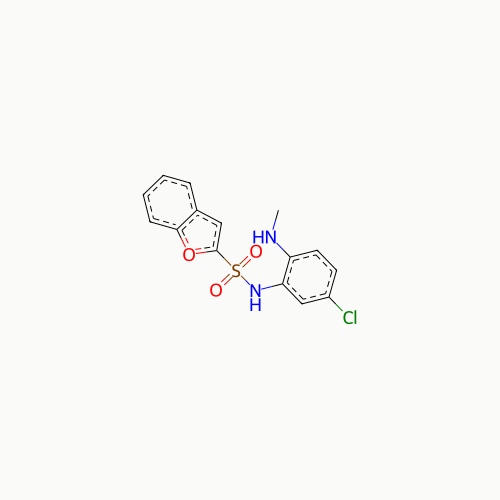 CNc1ccc(Cl)cc1NS(=O)(=O)c1cc2ccccc2o1